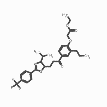 CCCc1cc(C(=O)CCC2SC(c3ccc(C(F)(F)F)cc3)=NC2C(C)C)ccc1OCC(=O)OCC